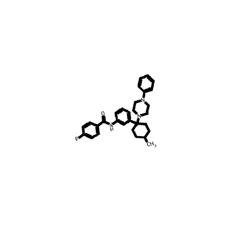 CC1CCC(c2cccc(NC(=O)c3ccc(F)cc3)c2)(N2CCN(c3ccccc3)CC2)CC1